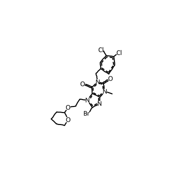 Cn1c(=O)n(Cc2ccc(Cl)c(Cl)c2)c(=O)c2c1nc(Br)n2CCOC1CCCCO1